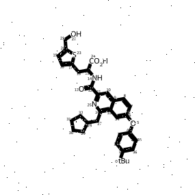 CC(C)(C)c1ccc(Oc2ccc3cc(C(=O)NC(Cc4ccc(CO)s4)C(=O)O)nc(CC4CCCC4)c3c2)cc1